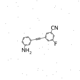 N#Cc1cc(F)cc(C#Cc2cccc(N)c2)c1